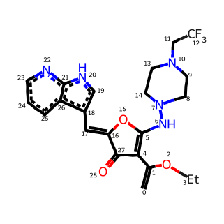 C=C(OCC)C1=C(NN2CCN(CC(F)(F)F)CC2)O/C(=C\c2c[nH]c3ncccc23)C1=O